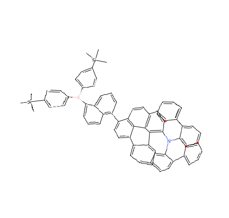 C[Si](C)(C)c1ccc(B(c2ccc([Si](C)(C)C)cc2)c2cccc3c(-c4ccc5c6ccccc6c6c(N(c7ccccc7-c7ccccc7)c7ccccc7-c7ccccc7)ccc7ccc4c5c76)cccc23)cc1